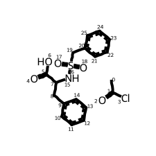 CC(=O)Cl.O=C(O)C(Cc1ccccc1)NS(=O)(=O)Cc1ccccc1